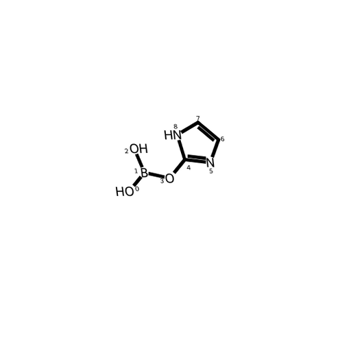 OB(O)Oc1ncc[nH]1